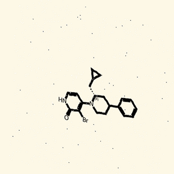 O=c1[nH]ccc(N2CCC(c3ccccc3)C[C@H]2CC2CC2)c1Br